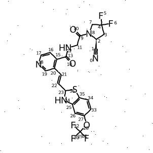 N#C[C@@H]1CC(F)(F)CN1C(=O)CNC(=O)c1ccncc1/C=C/C1Nc2cc(OC(F)(F)F)ccc2S1